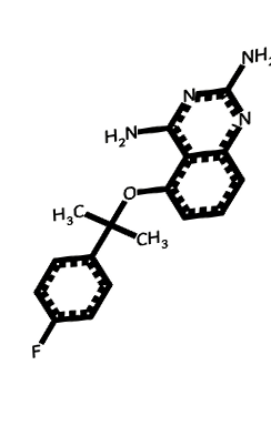 CC(C)(Oc1cccc2nc(N)nc(N)c12)c1ccc(F)cc1